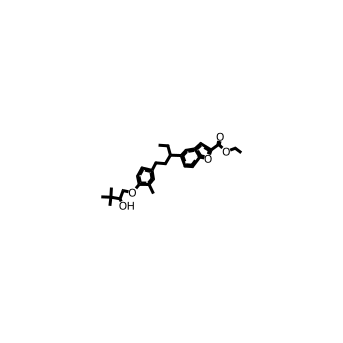 CCOC(=O)c1cc2cc(C(CC)CCc3ccc(OCC(O)C(C)(C)C)c(C)c3)ccc2o1